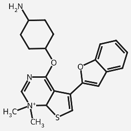 C[N+]1(C)C=NC(OC2CCC(N)CC2)=C2C(c3cc4ccccc4o3)=CSC21